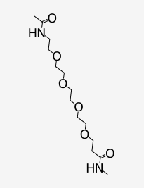 CNC(=O)CCOCCOCCOCCOCCNC(C)=O